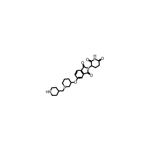 O=C1CCC(N2C(=O)c3ccc(OC4CCCN(CC5CCNCC5)C4)cc3C2=O)C(=O)N1